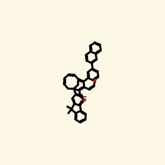 C/C=C\C1=C(CF)C2(c3ccc4c(c3)C(C)(C)c3ccccc3-4)C/C=C\C=C/C(=C1c1cccc(-c3ccc4ccccc4c3)c1)C2